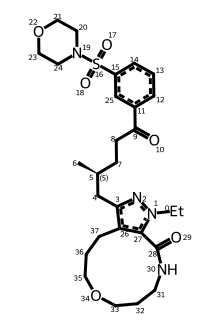 CCn1nc(C[C@@H](C)CCC(=O)c2cccc(S(=O)(=O)N3CCOCC3)c2)c2c1C(=O)NCCCOCCC2